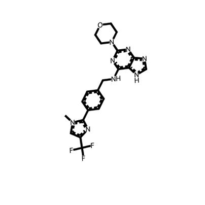 Cn1cc(C(F)(F)F)nc1-c1ccc(CNc2nc(N3CCOCC3)nc3nc[nH]c23)cc1